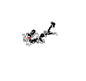 CC[C@H](C)[C@H](NC(=O)[C@]1(C)CCCCN1C)C(=O)N(CC)[C@H](C[C@@H](OC(C)=O)c1nc(C(=O)N[C@@H](Cc2ccc(NC(=O)[C@H](CCCCN)NC(=O)CCCCCN3C(=O)C=CC3=O)cc2)C[C@H](C)C(=O)O)cs1)C(C)C